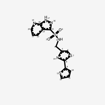 O=S(=O)(NCc1csc(-c2cccs2)n1)c1n[nH]c2ncccc12